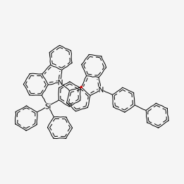 c1ccc(-c2ccc(-n3c4ccccc4c4c(-n5c6ccccc6c6cccc([Si](c7ccccc7)(c7ccccc7)c7ccccc7)c65)cccc43)cc2)cc1